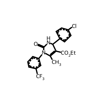 CCOC(=O)C1=C(C)N(c2cccc(C(F)(F)F)c2)C(=O)NC1c1ccc(Cl)cc1